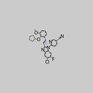 COc1cccc(/C=C/c2nc3cc(Cl)c(F)cc3n2-c2ccc(C#N)cn2)c1OC1CCCC1